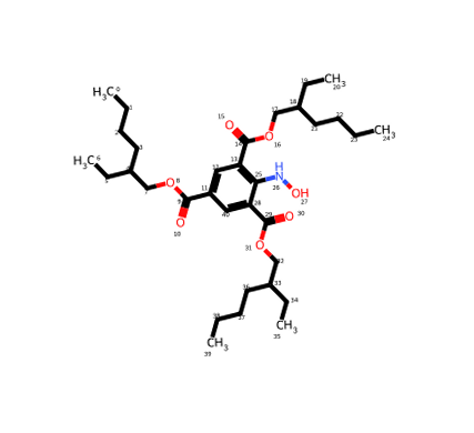 CCCCC(CC)COC(=O)c1cc(C(=O)OCC(CC)CCCC)c(NO)c(C(=O)OCC(CC)CCCC)c1